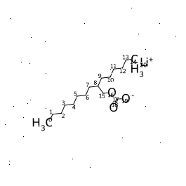 CCCCCCCCC(CCCCCC)COC(=O)[O-].[Li+]